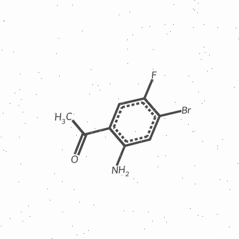 CC(=O)c1cc(F)c(Br)cc1N